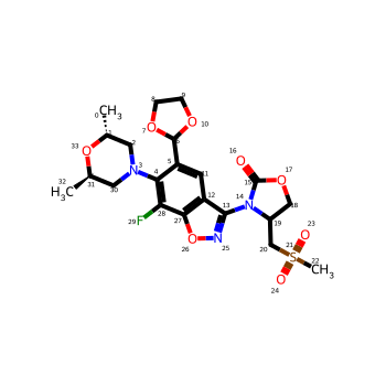 C[C@@H]1CN(c2c(C3OCCO3)cc3c(N4C(=O)OCC4CS(C)(=O)=O)noc3c2F)C[C@@H](C)O1